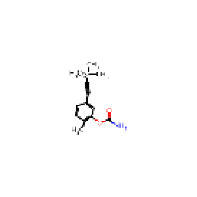 Cc1ccc(C#C[Si](C)(C)C)cc1OC(N)=O